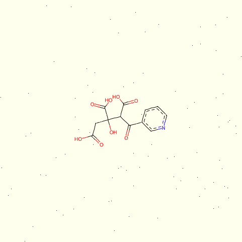 O=C(O)CC(O)(C(=O)O)C(C(=O)O)C(=O)c1cccnc1